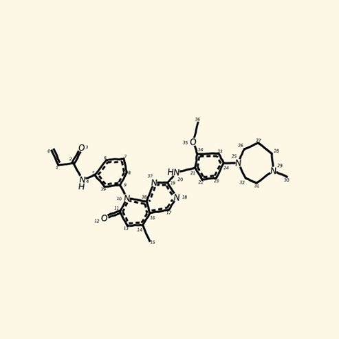 C=CC(=O)Nc1cccc(-n2c(=O)cc(C)c3cnc(Nc4ccc(N5CCCN(C)CC5)cc4OC)nc32)c1